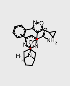 Cc1cc(C(N)=O)nc(N2C3CC[C@H]2CC(OCc2c(-c4ccccc4)noc2C2CC2)C3)n1